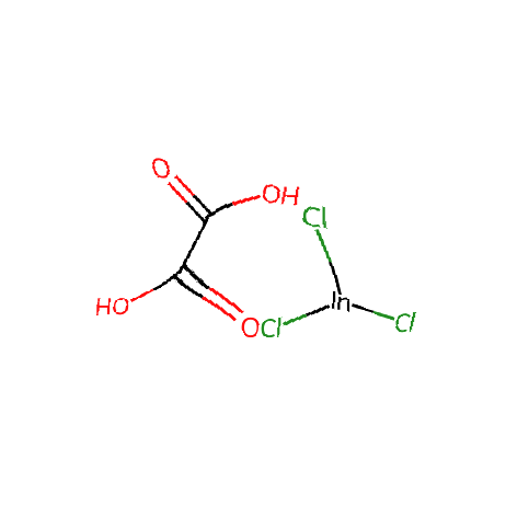 O=C(O)C(=O)O.[Cl][In]([Cl])[Cl]